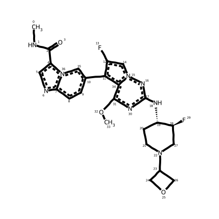 CNC(=O)c1cnc2ccc(-c3c(F)cn4nc(N[C@H]5CCN(C6COC6)C[C@@H]5F)nc(OC)c34)cn12